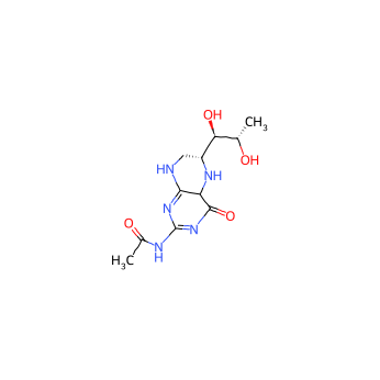 CC(=O)NC1=NC(=O)C2N[C@@H]([C@@H](O)[C@H](C)O)CNC2=N1